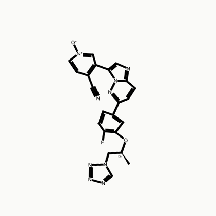 C[C@@H](Cn1cnnn1)Oc1cc(-c2ccc3ncc(-c4c[n+]([O-])ccc4C#N)n3n2)ccc1F